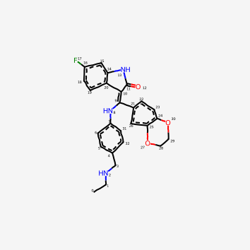 CCNCc1ccc(NC(=C2C(=O)Nc3cc(F)ccc32)c2ccc3c(c2)OCCO3)cc1